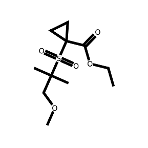 CCOC(=O)C1(S(=O)(=O)C(C)(C)COC)CC1